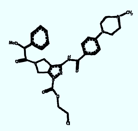 COC(C(=O)N1Cc2c(NC(=O)c3ccc(N4CCN(C)CC4)cc3)nn(C(=O)OCCCl)c2C1)c1ccccc1